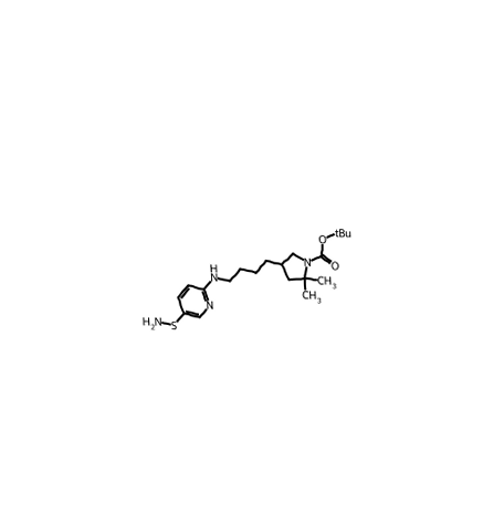 CC(C)(C)OC(=O)N1CC(CCCCNc2ccc(SN)cn2)CC1(C)C